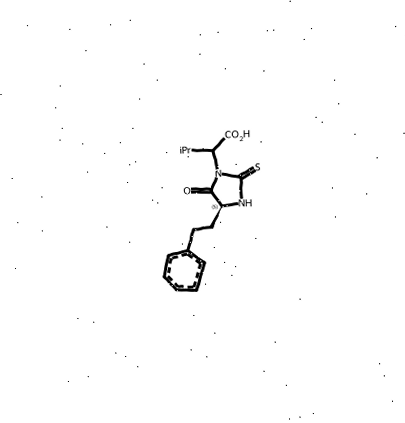 CC(C)C(C(=O)O)N1C(=O)[C@H](CCc2ccccc2)NC1=S